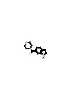 CC(C)N1CCc2ccc(C(=O)N3CCOCC3)cc21